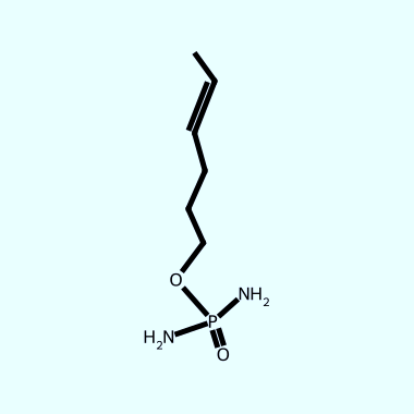 CC=CCCCOP(N)(N)=O